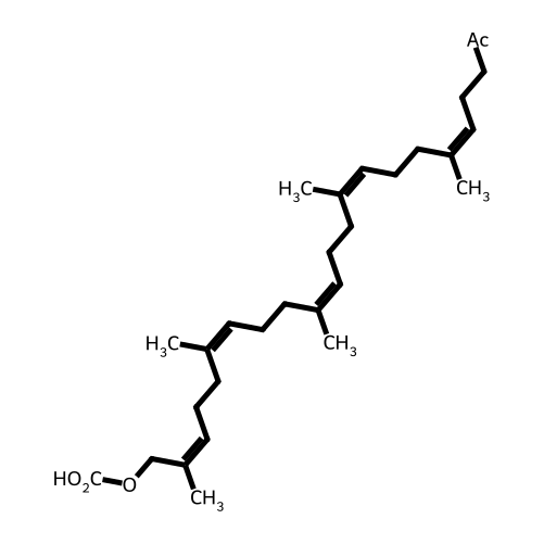 CC(=O)CCC=C(C)CCC=C(C)CCC=C(C)CCC=C(C)CCC=C(C)COC(=O)O